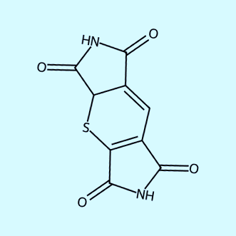 O=C1NC(=O)C2SC3=C(C=C12)C(=O)NC3=O